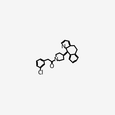 O=C(Cc1cccc(Cl)c1)N1CCC(=C2c3ccccc3CCc3cccnc32)CC1